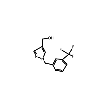 OCc1cnn(Cc2cccc(C(F)(F)F)c2)c1